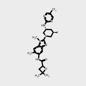 Cc1cc2c(cc1NC(=O)C1CC(C)(C)O1)nc(N1C[C@H](F)C[C@@H](Nc3ncc(C(F)(F)F)cn3)C1)n2C